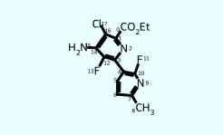 CCOC(=O)c1nc(-c2ccc(C)nc2F)c(F)c(N)c1Cl